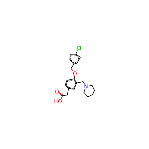 O=C(O)Cc1ccc(OCc2ccc(Cl)cc2)c(CN2CCCCC2)c1